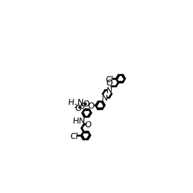 NS(=O)(=O)c1cc(NC(=O)Cc2ccccc2Cl)ccc1Oc1cccc(N2CCN(C(=O)Cc3ccccc3Cl)CC2)c1